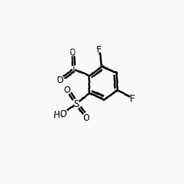 O=I(=O)c1c(F)cc(F)cc1S(=O)(=O)O